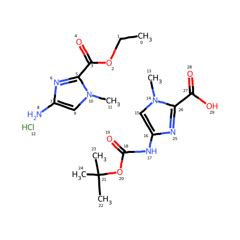 CCOC(=O)c1nc(N)cn1C.Cl.Cn1cc(NC(=O)OC(C)(C)C)nc1C(=O)O